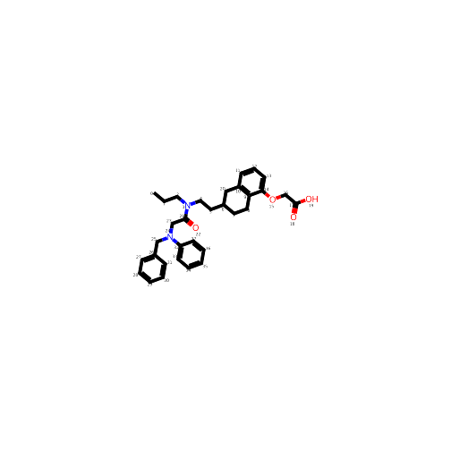 CCCN(CCC1CCc2c(cccc2OCC(=O)O)C1)C(=O)CN(Cc1ccccc1)c1ccccc1